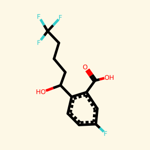 O=C(O)c1cc(F)ccc1C(O)CCCC(F)(F)F